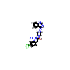 Cc1cc(Cl)ccc1CC(N)C(=O)N1CCN(c2ncnc3ccccc23)CC1